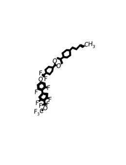 C/C=C/CCC1CCC(C2COC(C3CCC(C(F)(F)Oc4cc(F)c(-c5cc(F)c(C(F)(F)OC(F)(F)F)c(F)c5)c(F)c4)CC3)OC2)CC1